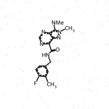 CNc1c2ncnc(C(=O)NCc3ccc(F)c(C)c3)c2nn1C